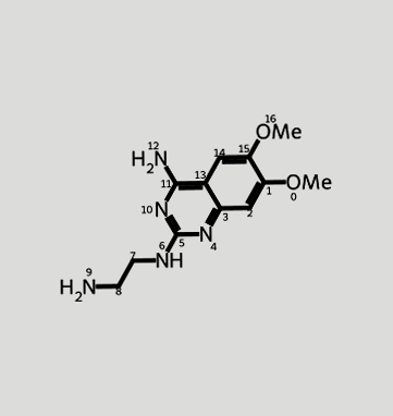 COc1cc2nc(NCCN)nc(N)c2cc1OC